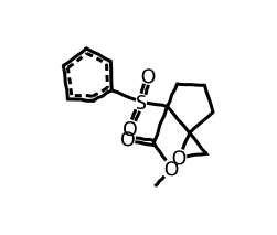 COC(=O)C1(S(=O)(=O)c2ccccc2)CCCC12CO2